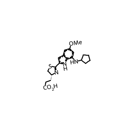 COc1cc(NC2CCCC2)c2[nH]c(C3=N[C@H](CCC(=O)O)CS3)cc2c1